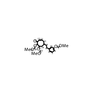 COCOc1cccc(CCC2CC=CC(=O)C(OCOC)C(OCOC)C2)c1